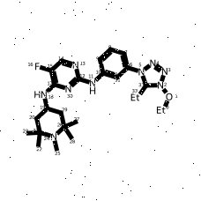 CCON1N=NN(c2cccc(Nc3ncc(F)c(NC4CC(C)(C)N(C)C(C)(C)C4)n3)c2)C1CC